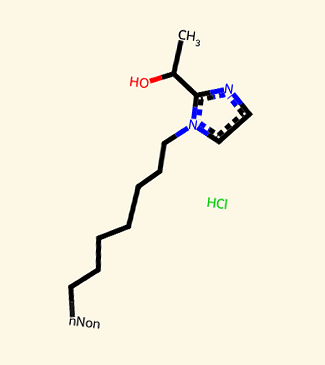 CCCCCCCCCCCCCCCCn1ccnc1C(C)O.Cl